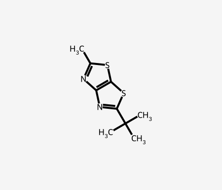 Cc1nc2nc(C(C)(C)C)sc2s1